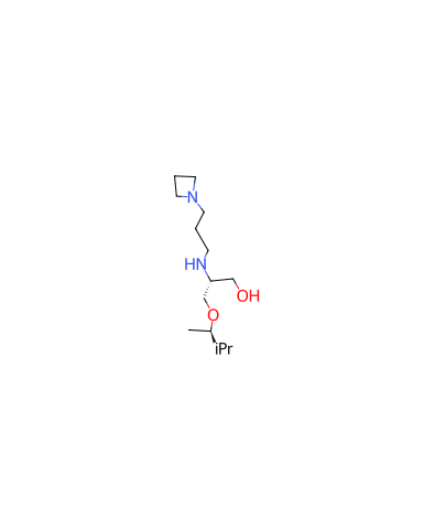 CC(C)[C@@H](C)OC[C@@H](CO)NCCCN1CCC1